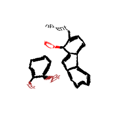 Brc1ccccc1Br.CCCCCC1=CC=C2C(=Cc3ccccc32)C1=O